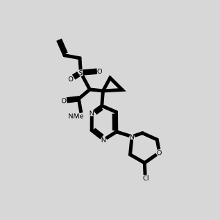 C=CCS(=O)(=O)C(C(=O)NC)C1(c2cc(N3CCOC(Cl)C3)ncn2)CC1